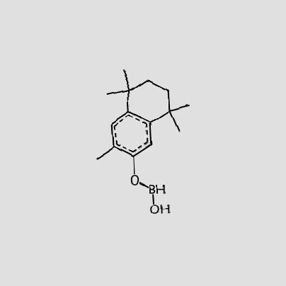 Cc1cc2c(cc1OBO)C(C)(C)CCC2(C)C